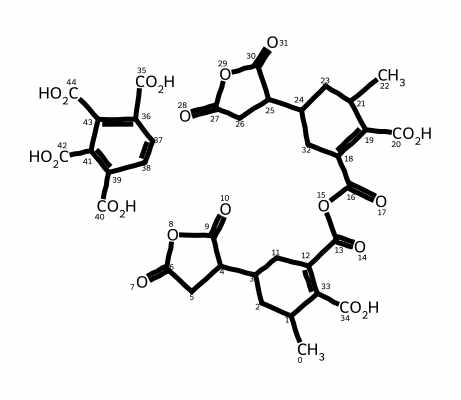 CC1CC(C2CC(=O)OC2=O)CC(C(=O)OC(=O)C2=C(C(=O)O)C(C)CC(C3CC(=O)OC3=O)C2)=C1C(=O)O.O=C(O)c1ccc(C(=O)O)c(C(=O)O)c1C(=O)O